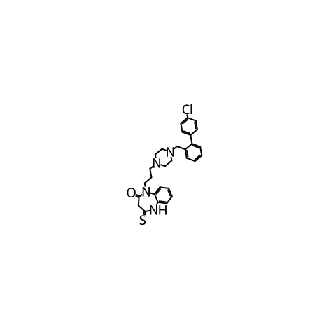 O=C1CC(=S)Nc2ccccc2N1CCCN1CCN(Cc2ccccc2-c2ccc(Cl)cc2)CC1